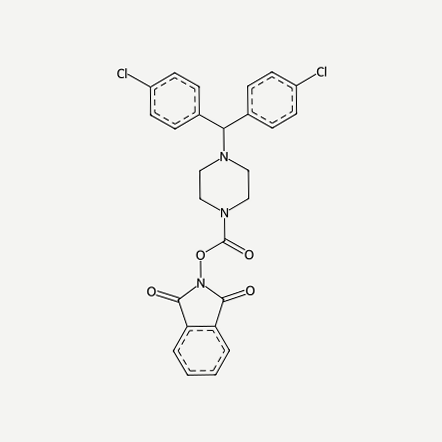 O=C(ON1C(=O)c2ccccc2C1=O)N1CCN(C(c2ccc(Cl)cc2)c2ccc(Cl)cc2)CC1